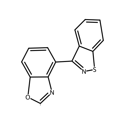 [c]1nc2c(-c3nsc4ccccc34)cccc2o1